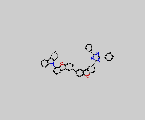 C1=Cc2c(c3ccccc3n2-c2cccc3c2oc2ccc(-c4ccc5oc6ccc(-c7nc(-c8ccccc8)nc(-c8ccccc8)n7)cc6c5c4)cc23)CC1